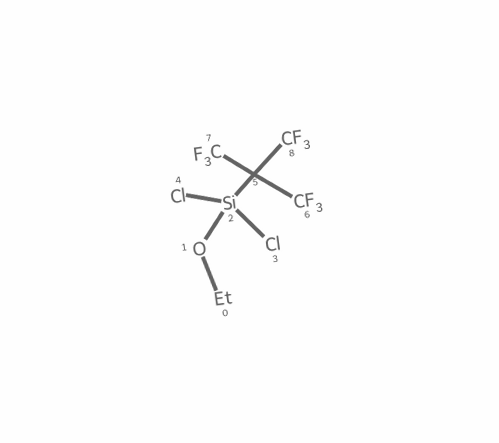 CCO[Si](Cl)(Cl)C(C(F)(F)F)(C(F)(F)F)C(F)(F)F